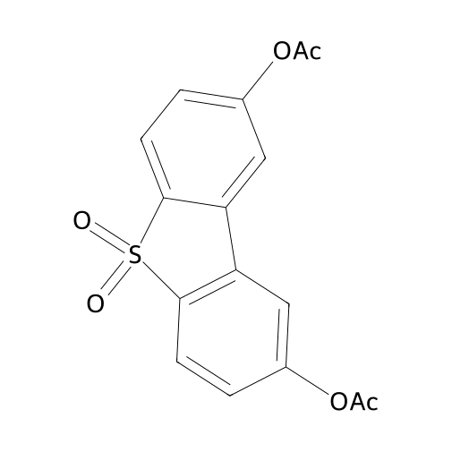 CC(=O)Oc1ccc2c(c1)-c1cc(OC(C)=O)ccc1S2(=O)=O